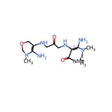 CNC(=O)/C(NCC(=O)CNC1=C(N)N(C)COC1)=C(/N)N(C)C